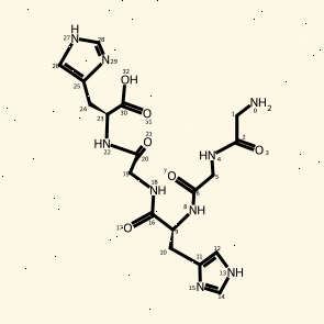 NCC(=O)NCC(=O)N[C@@H](Cc1c[nH]cn1)C(=O)NCC(=O)N[C@@H](Cc1c[nH]cn1)C(=O)O